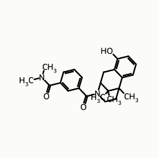 CN(C)C(=O)c1cccc(C(=O)N2CCC3(C)c4cccc(O)c4CC2C3(C)C)c1